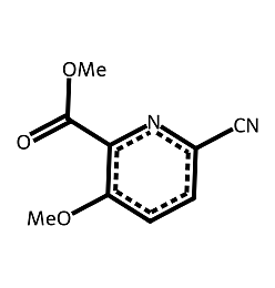 COC(=O)c1nc(C#N)ccc1OC